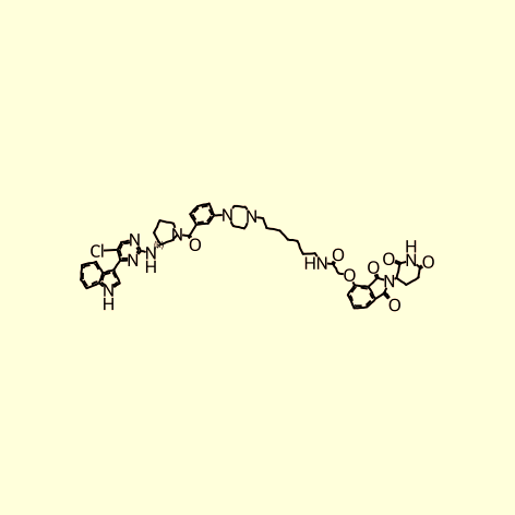 O=C(COc1cccc2c1C(=O)N(C1CCC(=O)NC1=O)C2=O)NCCCCCCCN1CCN(c2cccc(C(=O)N3CCC[C@@H](Nc4ncc(Cl)c(-c5c[nH]c6ccccc56)n4)C3)c2)CC1